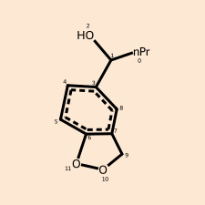 CCCC(O)c1ccc2c(c1)COO2